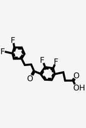 O=C(O)CCc1ccc(C(=O)CCc2ccc(F)c(F)c2)c(F)c1F